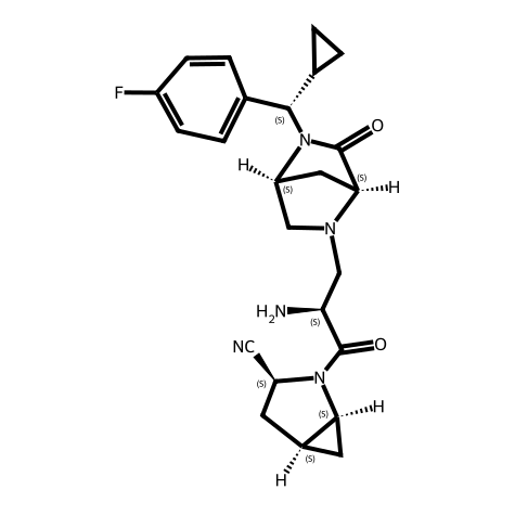 N#C[C@@H]1C[C@@H]2C[C@@H]2N1C(=O)[C@@H](N)CN1C[C@@H]2C[C@H]1C(=O)N2[C@H](c1ccc(F)cc1)C1CC1